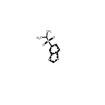 CC(C)S(=O)(=O)c1ccc2ncsc2c1